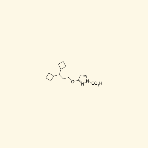 O=C(O)n1ccc(OCCC(C2CCC2)C2CCC2)n1